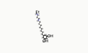 CC/C=C/C/C=C/CCCCCCCCc1cc(O)cc(O)c1